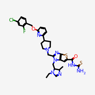 CCN1C=NC(C)C1Cn1c(CN2CCC(c3cccc(OCc4ccc(Cl)cc4F)n3)CC2)nc2sc(C(=O)NC(N)=S)cc21